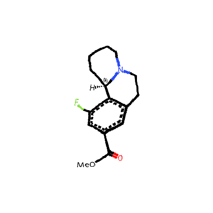 COC(=O)c1cc(F)c2c(c1)CCN1CCCC[C@H]21